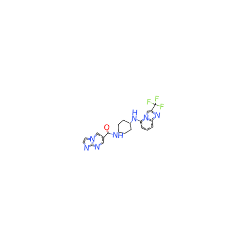 O=C(NC1CCC(Nc2cccc3nc(C(F)(F)F)cn23)CC1)c1cnc2nccn2c1